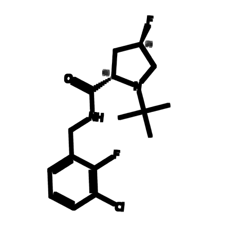 CC(C)(C)N1C[C@H](F)C[C@H]1C(=O)NCc1cccc(Cl)c1F